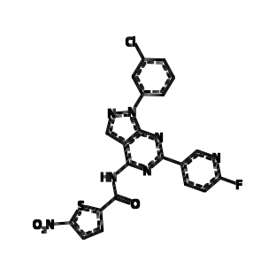 O=C(Nc1nc(-c2ccc(F)nc2)nc2c1cnn2-c1cccc(Cl)c1)c1ccc([N+](=O)[O-])s1